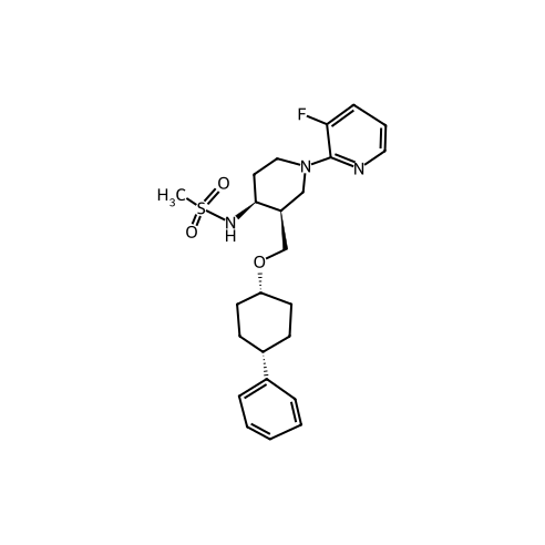 CS(=O)(=O)N[C@H]1CCN(c2ncccc2F)C[C@H]1CO[C@H]1CC[C@@H](c2ccccc2)CC1